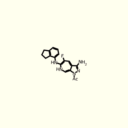 CC(=O)n1nc(N)c2c1=CNC(Nc1cccc3c1CCC3)=C(F)C=2